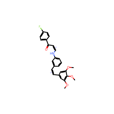 COc1cc(/C=C\c2cccc(N/C=C\C(=O)c3ccc(F)cc3)c2)cc(OC)c1OC